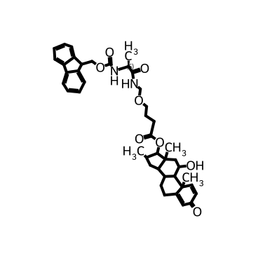 CC1CC2C3CCC4=CC(=O)C=CC4(C)C3C(O)CC2(C)C1OC(=O)CCCOCNC(=O)[C@H](C)NC(=O)OCC1c2ccccc2-c2ccccc21